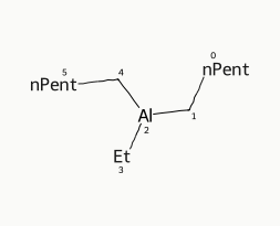 CCCCC[CH2][Al]([CH2]C)[CH2]CCCCC